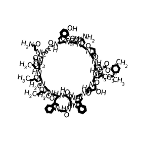 CCCC[C@H]1C(=O)N(C)[C@@H](CCCC)C(=O)N[C@@H](CC(C)C)C(=O)N[C@H](C(=O)NCC(N)=O)CSCC(=O)N[C@@H](Cc2ccc(O)cc2)C(=O)N(C)[C@@H](C)C(=O)N[C@@H](CC(N)=O)C(=O)N2CCC[C@H]2C(=O)N[C@@H](CNC(=O)O[C@@H]2C[C@H](C)CC[C@H]2C(C)C)C(=O)N[C@@H](CC(C)C)C(=O)N2C[C@H](O)C[C@H]2C(=O)N[C@@H](Cc2c[nH]c3ccccc23)C(=O)N[C@H]2CCNC(=O)Cn3cc(c4ccccc43)C[C@H](NC2=O)C(=O)N1C